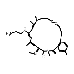 C=C1c2cc(C)ccc2OCCCCCCN(C)/C(C)=C/C(NCCN)=N\C(C)=C\C(=N/C)C(CC)N1C